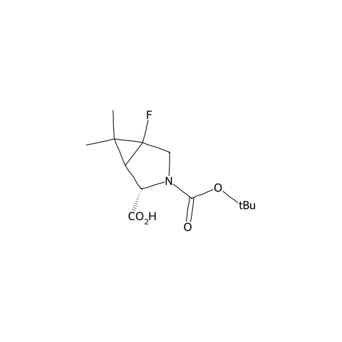 CC(C)(C)OC(=O)N1CC2(F)C([C@H]1C(=O)O)C2(C)C